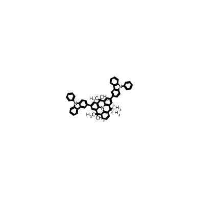 CC1(C)C2=C3C(CC=C2)C(C)(C)c2cc(-c4ccc5c(c4)c4ccccc4n5-c4ccccc4)cc4c2N3c2c1cc(-c1ccc3c(c1)c1c(n3-c3ccccc3)C=CCC1)cc2C4(C)C